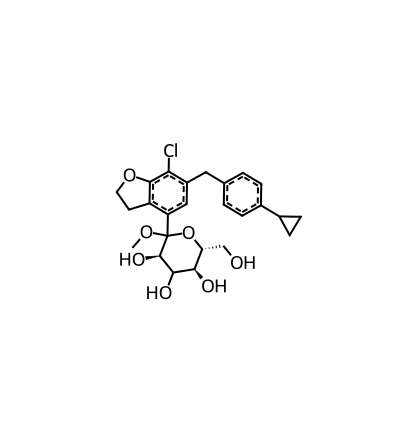 COC1(c2cc(Cc3ccc(C4CC4)cc3)c(Cl)c3c2CCO3)O[C@H](CO)[C@@H](O)C(O)[C@H]1O